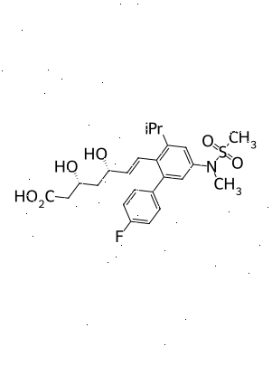 CC(C)c1cc(N(C)S(C)(=O)=O)cc(-c2ccc(F)cc2)c1/C=C/[C@@H](O)C[C@@H](O)CC(=O)O